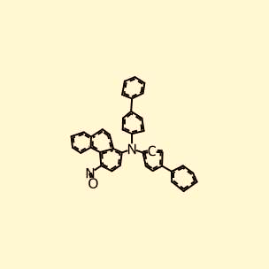 O=Nc1ccc(N(c2ccc(-c3ccccc3)cc2)c2ccc(-c3ccccc3)cc2)c2ccc3ccccc3c12